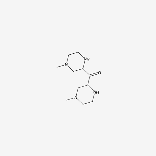 CN1CCNC(C(=O)C2CN(C)CCN2)C1